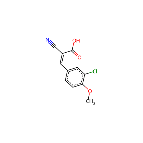 COc1ccc(C=C(C#N)C(=O)O)cc1Cl